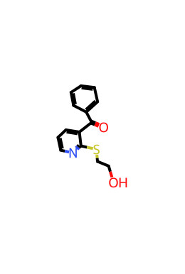 O=C(c1ccccc1)c1cccnc1SCCO